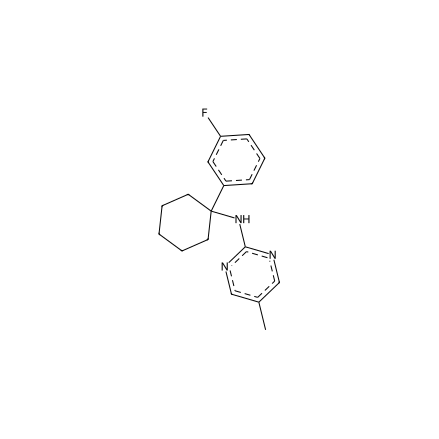 Cc1cnc(NC2(c3cccc(F)c3)CCCCC2)nc1